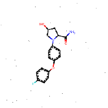 NC(=O)C1CC(O)CN1c1ccc(Oc2ccc(F)cc2)cc1